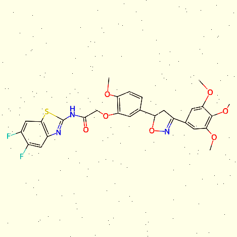 COc1ccc(C2CC(c3cc(OC)c(OC)c(OC)c3)=NO2)cc1OCC(=O)Nc1nc2cc(F)c(F)cc2s1